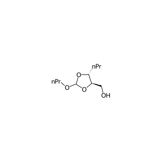 CCCOC1O[C@H](CO)[C@@H](CCC)O1